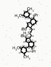 CCC(C)C1=Cc2c(ccc(C(C)C)c2-c2cc(C)cc(C)c2)C1C[SiH2]CC1C(C(C)CC)=Cc2c1ccc(C(C)C)c2-c1cc(C)cc(C)c1